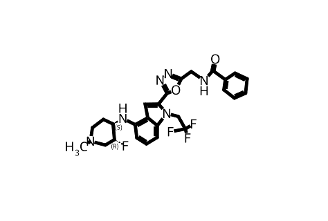 CN1CC[C@H](Nc2cccc3c2cc(-c2nnc(CNC(=O)c4ccccc4)o2)n3CC(F)(F)F)[C@H](F)C1